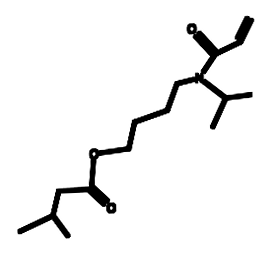 C=CC(=O)N(CCCCOC(=O)CC(C)C)C(C)C